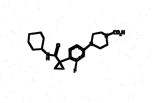 O=C(O)N1CCN(c2ccc(C3(C(=O)NC4CCCCC4)CC3)c(F)c2)CC1